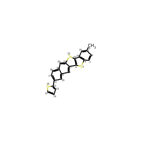 Cc1ccc2sc3c4cc5cc(-c6cccs6)ccc5cc4sc3c2c1